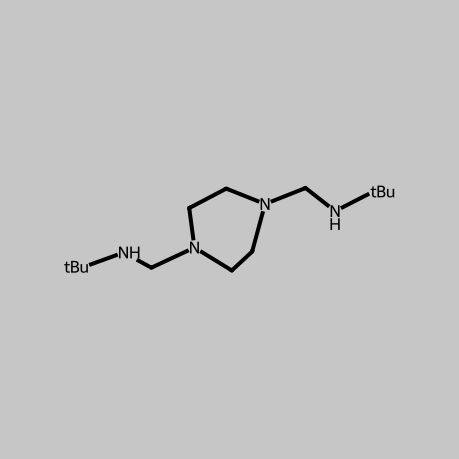 CC(C)(C)NCN1CCN(CNC(C)(C)C)CC1